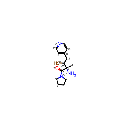 CC(N)(C(=O)N1CCCC1)C(S)Cc1ccncc1